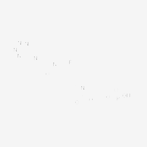 Cn1nnc(N2Cc3nc(-c4ccc(N5C[C@H](COP(C)(=O)O)OC5=O)cc4F)oc3C2)n1